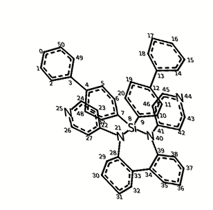 c1ccc(-c2ccc([Si]3(c4ccc(-c5ccccc5)cc4)N(c4ccncc4)c4ccccc4-c4ccccc4N3c3ccncc3)cc2)cc1